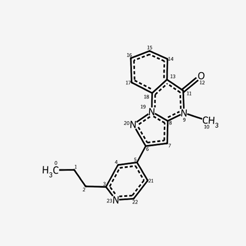 CCCc1cc(-c2cc3n(C)c(=O)c4ccccc4n3n2)ccn1